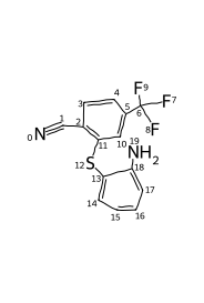 N#Cc1ccc(C(F)(F)F)cc1Sc1ccccc1N